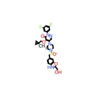 CC1(COc2c(N3CCN([S+]([O-])Cc4ccc5c(c4)OC(CO)N5)CC3)cnn(-c3cc(F)cc(F)c3)c2=O)CC1